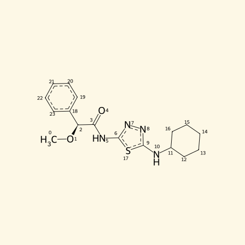 CO[C@H](C(=O)Nc1nnc(NC2CCCCC2)s1)c1ccccc1